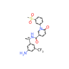 C[C@@H](NC(=O)c1ccc(=O)n(-c2cccc(S(C)(=O)=O)c2)c1)c1cc(N)cc(C(F)(F)F)c1